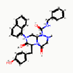 CN1CC(=O)N2C(Cc3ccc(O)cc3)C(=O)N(c3cccc4ccccc34)CC2N1C(=O)NCc1ccccc1